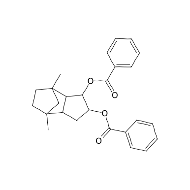 CC12CCC(C)(C1)C1C(OC(=O)c3ccccc3)C(OC(=O)c3ccccc3)CC12